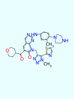 Cc1cc(Nc2ncc3cc(C(=O)C4CCOCC4)c(=O)n(Cc4nnn(C)c4-c4nccs4)c3n2)ccc1N1CCNCC1